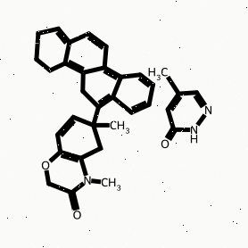 CN1C(=O)COC2=C1CC(C)(C1=c3ccccc3=c3ccc4c(c3C1)CCCC=4)C=C2.Cc1cn[nH]c(=O)c1